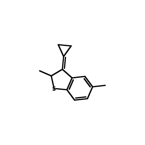 Cc1ccc2c(c1)C(=C1CC1)C(C)S2